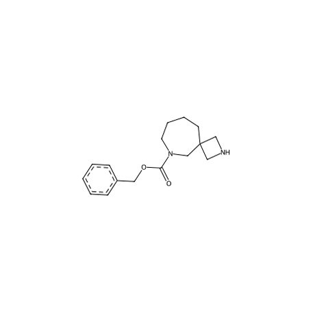 O=C(OCc1ccccc1)N1CCCCC2(CNC2)C1